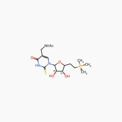 C=P(C)(C)CCC1OC(n2cc(CNC(C)=O)c(=O)[nH]c2=S)[C@H](O)[C@@H]1O